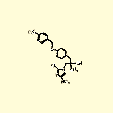 CC(O)(CN1CCC(OCc2ccc(C(F)(F)F)cc2)CC1)Cn1cc([N+](=O)[O-])nc1Cl